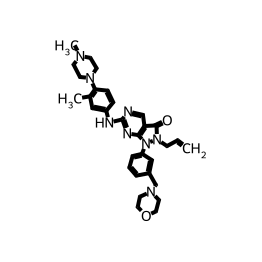 C=CCn1c(=O)c2cnc(Nc3ccc(N4CCN(C)CC4)c(C)c3)nc2n1-c1cccc(CN2CCOCC2)c1